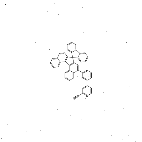 N#Cc1cc(-c2cccc(-c3cc4c(c5ccccc35)-c3c(ccc5ccccc35)C43c4ccccc4-c4ccccc43)n2)ccn1